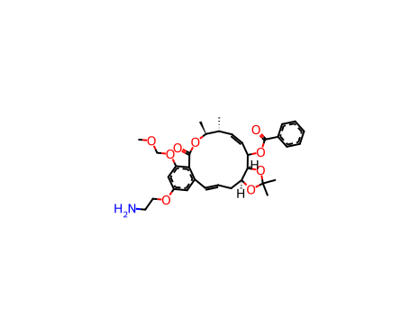 COCOc1cc(OCCN)cc2c1C(=O)O[C@@H](C)[C@H](C)/C=C\C(OC(=O)c1ccccc1)[C@H]1OC(C)(C)O[C@H]1C/C=C/2